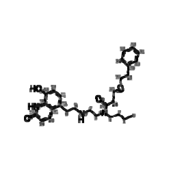 CCCCN(CCNCCc1ccc(O)c2[nH]c(=O)ccc12)C(=O)CCOCCc1ccccc1